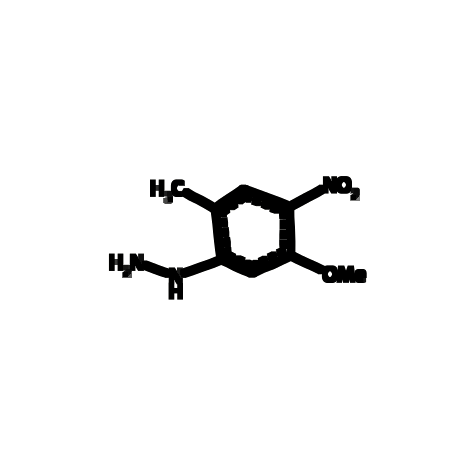 COc1cc(NN)c(C)cc1[N+](=O)[O-]